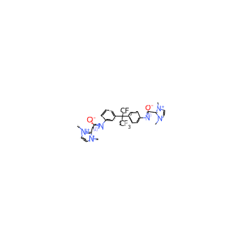 Cn1cc[n+](C)c1/C([O-])=N/c1ccc(C(c2cccc(/N=C(\[O-])c3n(C)cc[n+]3C)c2)(C(F)(F)F)C(F)(F)F)cc1